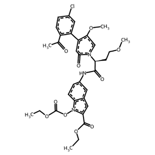 CCOC(=O)On1c(C(=O)OCC)cc2cc(NC(=O)[C@H](CCOC)n3cc(OC)c(-c4cc(Cl)ccc4C(C)=O)cc3=O)ccc21